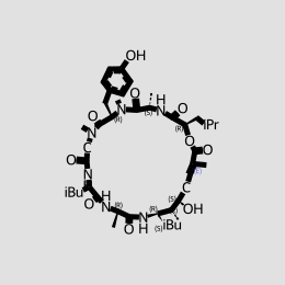 CCC(C)C1NC(=O)CN(C)C(=O)[C@@H](Cc2ccc(O)cc2)N(C)C(=O)[C@H](C)NC(=O)[C@@H](CC(C)C)OC(=O)/C(C)=C/C[C@H](O)[C@H](C)[C@@H]([C@@H](C)CC)NC(=O)[C@@H](C)NC1=O